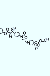 CCOC(=O)CC1(O)CCN(CC2CN(c3ccc(C(=N)NC(=O)Oc4ccccc4)cc3)C(=O)O2)CC1